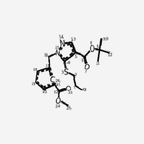 CCCSc1c(C(=O)OC(C)(C)C)cnn1Cc1cccc(C(=O)OC)c1